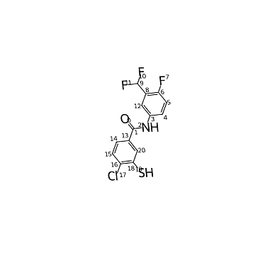 O=C(Nc1ccc(F)c(C(F)F)c1)c1ccc(Cl)c(S)c1